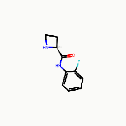 O=C(Nc1ccccc1F)[C@@H]1CCN1